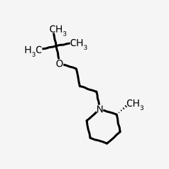 C[C@@H]1CCCCN1CCCOC(C)(C)C